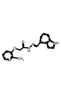 Cc1ncccc1OCC(=O)NN=Cc1cccc2[nH]ccc12